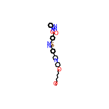 COCCCCCCOC1CCC(N2CCC(c3ccc(-c4nnc(-c5ccc(C(=O)On6nnc7ccccc76)cc5)s4)cc3)CC2)CC1